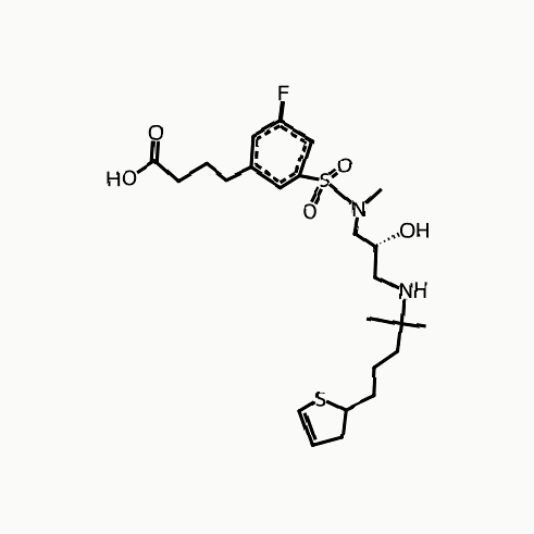 CN(C[C@H](O)CNC(C)(C)CCCC1CC=CS1)S(=O)(=O)c1cc(F)cc(CCCC(=O)O)c1